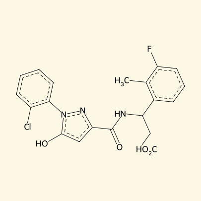 Cc1c(F)cccc1C(CC(=O)O)NC(=O)c1cc(O)n(-c2ccccc2Cl)n1